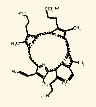 C=CC1=C(C)c2nc1cc1[nH]c(cc3nc(cc4[nH]c(c(C=C)c4C)c2C(=O)CCN)C(C)=C3CCC(=O)O)c(CCC(=O)O)c1C